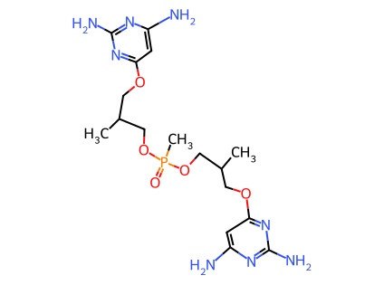 CC(COc1cc(N)nc(N)n1)COP(C)(=O)OCC(C)COc1cc(N)nc(N)n1